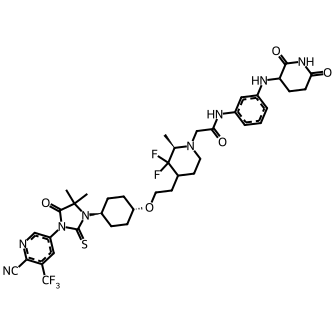 C[C@H]1N(CC(=O)Nc2cccc(NC3CCC(=O)NC3=O)c2)CCC(CCO[C@H]2CC[C@H](N3C(=S)N(c4cnc(C#N)c(C(F)(F)F)c4)C(=O)C3(C)C)CC2)C1(F)F